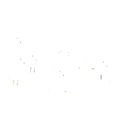 c1ccc(-c2cc(-c3nc(-c4cccnc4)nc(-c4cccnc4)n3)cc(-c3ccccc3)c2-n2c3ccccc3c3c4oc5c(ccc6c5c5ccccc5n6-c5ccccc5)c4ccc32)cc1